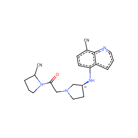 N#Cc1ccc(N[C@H]2CCN(CC(=O)N3CCCC3C#N)C2)c2cccnc12